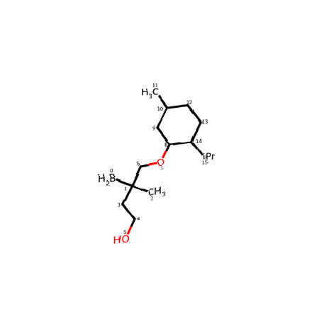 BC(C)(CCO)COC1CC(C)CCC1C(C)C